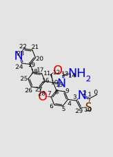 Cc1nc(-c2ccc3c(c2)[C@]2(COC(N)=N2)c2cc(-c4cccnc4)ccc2O3)cs1